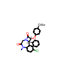 COc1ccc(O[C@@H]2C(=O)N3CC(=O)N(C)c4ccc(Cl)cc4[C@@]23c2ccccc2)cc1